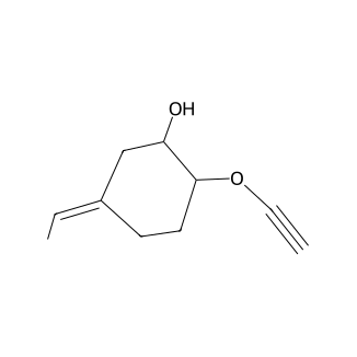 C#COC1CC/C(=C\C)CC1O